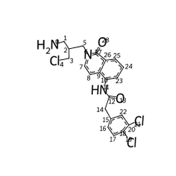 NCC(CCl)Cn1ccc2c(NC(=O)Cc3ccc(Cl)c(Cl)c3)cccc2c1=O